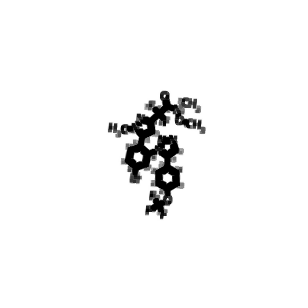 CON(C)C(=O)C(F)(F)c1cc(-c2ccc(Br)cc2-n2nncc2-c2ccc(OC(F)(F)F)cc2)n(C)n1